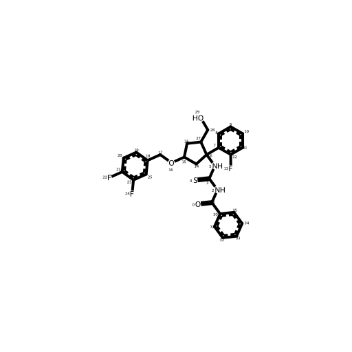 O=C(NC(=S)NC1(c2ccccc2F)CC(OCc2ccc(F)c(F)c2)CC1CO)c1ccccc1